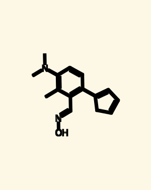 Cc1c(N(C)C)ccc(C2=CC=CC2)c1/C=N/O